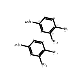 COc1ccc(N)c([N+](=O)[O-])c1.COc1ccc(N)c([N+](=O)[O-])c1